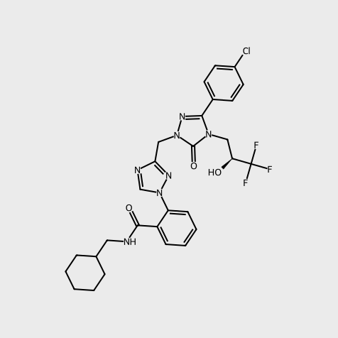 O=C(NCC1CCCCC1)c1ccccc1-n1cnc(Cn2nc(-c3ccc(Cl)cc3)n(C[C@H](O)C(F)(F)F)c2=O)n1